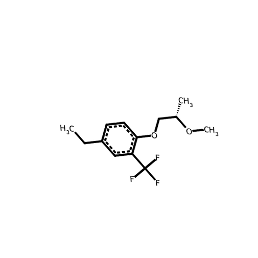 CCc1ccc(OC[C@H](C)OC)c(C(F)(F)F)c1